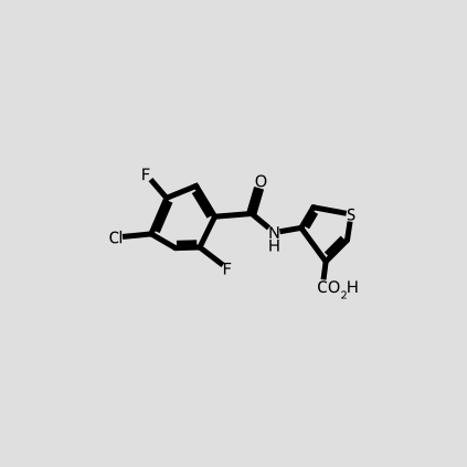 O=C(Nc1cscc1C(=O)O)c1cc(F)c(Cl)cc1F